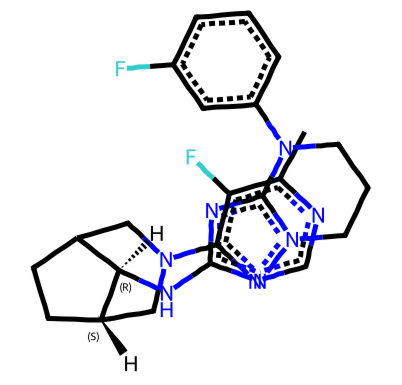 Cc1ncnc(N2CC3CC[C@@H](C2)[C@@H]3Nc2nc3n(n2)CCCN3c2cccc(F)c2)c1F